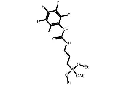 CCO[Si](CCCNC(=O)Nc1c(F)c(F)c(F)c(F)c1F)(OC)OCC